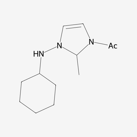 CC(=O)N1C=CN(NC2CCCCC2)C1C